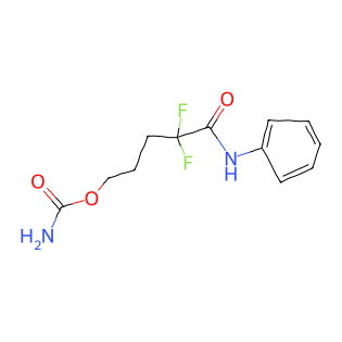 NC(=O)OCCCC(F)(F)C(=O)Nc1ccccc1